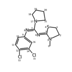 CN1CCSC1=NC(=Nc1ccc(Cl)c(Cl)c1)N1CCCC1